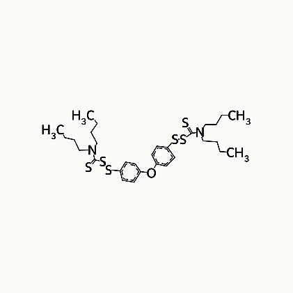 CCCCN(CCCC)C(=S)SSc1ccc(Oc2ccc(SSC(=S)N(CCCC)CCCC)cc2)cc1